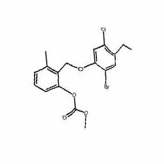 CCc1cc(Br)c(OCc2c(C)cccc2OC(=O)OC)cc1Cl